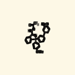 COc1ccc(C2(c3cccc(-c4cccc(OC)c4)c3)N=C(NOC(=O)C(F)(F)F)c3ccccc32)cc1